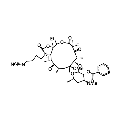 CC[C@H]1OC(=O)[C@@](C)(F)C(=O)[C@H](C)[C@@H](O[C@@H]2O[C@H](C)C[C@H](NC)[C@H]2OC(=O)c2ccccc2)[C@@](C)(OC)C[C@@H](C)C(=O)[C@H](C)[C@H]2N(CCCCN=[N+]=[N-])C(=O)O[C@]12C